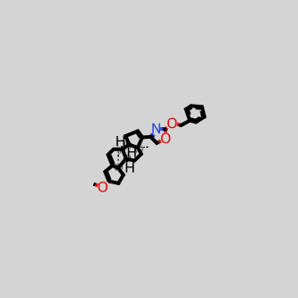 COC1=CC2=CC[C@@H]3[C@H](CC[C@]4(C)C(C5=NC(OCc6ccccc6)OC5)=CC[C@@H]34)[C@@]2(C)CC1